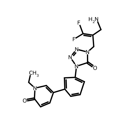 CCn1cc(-c2cccc(-n3nnn(CC(CN)=C(F)F)c3=O)c2)ccc1=O